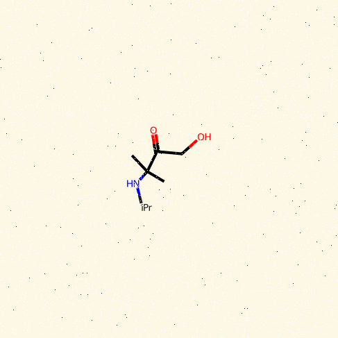 CC(C)NC(C)(C)C(=O)CO